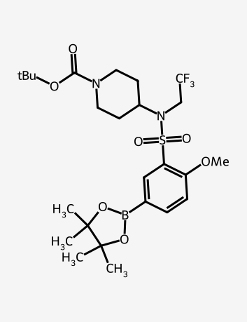 COc1ccc(B2OC(C)(C)C(C)(C)O2)cc1S(=O)(=O)N(CC(F)(F)F)C1CCN(C(=O)OC(C)(C)C)CC1